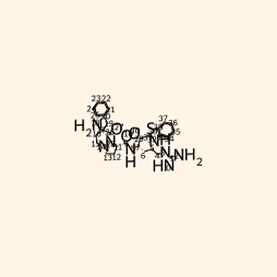 N=C(N)NCCC[C@H](NC(=O)[C@@H]1CCN2CC[C@@](N)(Cc3ccccc3)C(=O)N12)C(=O)c1nc2ccccc2s1